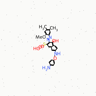 COc1cc(C)c(C)cc1N=Nc1c(SOOO)cc2cc(NCOc3ccc(N)cc3)ccc2c1O